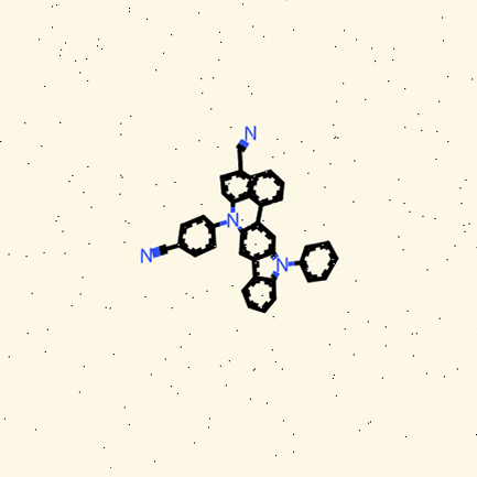 N#Cc1ccc(N(c2ccc(C#N)cc2)c2cc3c4ccccc4n(-c4ccccc4)c3cc2-c2ccccc2)cc1